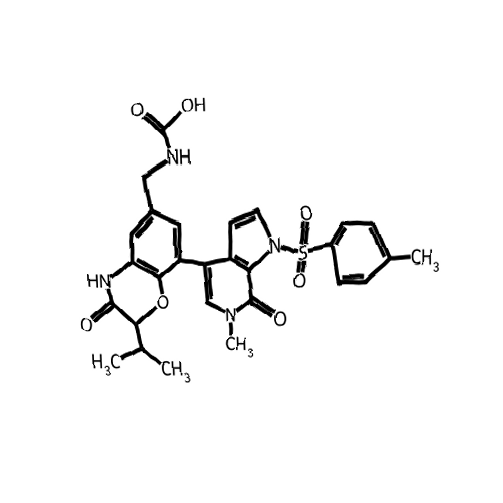 Cc1ccc(S(=O)(=O)n2ccc3c(-c4cc(CNC(=O)O)cc5c4OC(C(C)C)C(=O)N5)cn(C)c(=O)c32)cc1